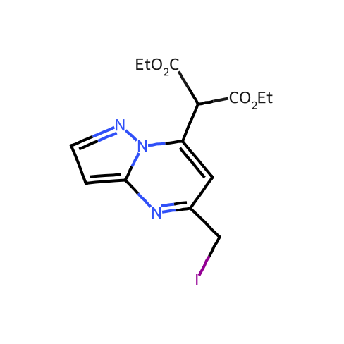 CCOC(=O)C(C(=O)OCC)c1cc(CI)nc2ccnn12